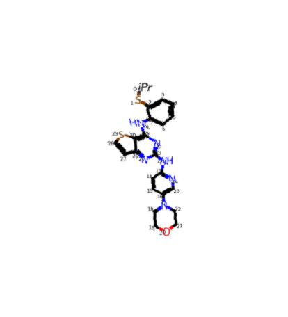 CC(C)Sc1ccccc1Nc1nc(Nc2ccc(N3CCOCC3)cn2)nc2ccsc12